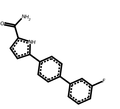 NC(=O)c1ccc(-c2ccc(-c3cccc(F)c3)cc2)[nH]1